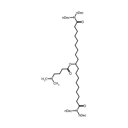 CCCCCCCCCCN(CCCCCCCCCC)C(=O)CCCCCCCCC(CCCCCCCCC(=O)N(CCCCCCCCCC)CCCCCCCCCC)OC(=O)CCCN(C)C